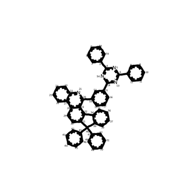 c1ccc(-c2nc(-c3ccccc3)nc(-c3cccc(-c4nc5ccccc5c5ccc6c(c45)-c4ccccc4C6(c4ccccc4)c4ccccc4)c3)n2)cc1